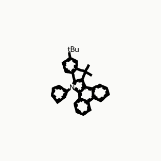 CC(C)(C)c1ccc2c(c1)C(C)(C)c1c-2n(-c2ccccc2)c2c3ccccc3c3ccccc3c12